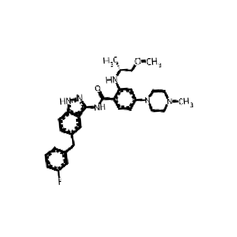 COC[C@@H](C)Nc1cc(N2CCN(C)CC2)ccc1C(=O)Nc1n[nH]c2ccc(Cc3cccc(F)c3)cc12